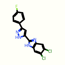 Fc1ccc(-c2cc(-c3nc4cc(Cl)c(Cl)cc4[nH]3)[nH]n2)cc1